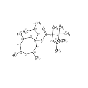 CC(C)=CC(C)(C(=O)OC1(CC(C)C)CC(C)CC(O)CC(O)C1)C(C)(C)C